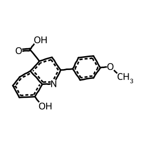 COc1ccc(-c2cc(C(=O)O)c3cccc(O)c3n2)cc1